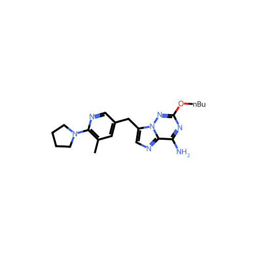 CCCCOc1nc(N)c2ncc(Cc3cnc(N4CCCC4)c(C)c3)n2n1